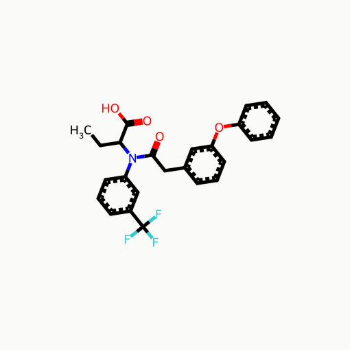 CCC(C(=O)O)N(C(=O)Cc1cccc(Oc2ccccc2)c1)c1cccc(C(F)(F)F)c1